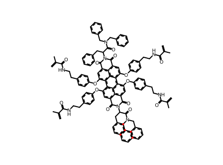 C=C(C)C(=O)NCCc1ccc(Oc2cc3c4c(cc(Oc5ccc(CCNC(=O)C(=C)C)cc5)c5c6c(Oc7ccc(CCNC(=O)C(=C)C)cc7)cc7c8c(cc(Oc9ccc(CCNC(=O)C(=C)C)cc9)c(c2c45)c86)C(=O)N(C(Cc2ccccc2)C(=O)N(Cc2ccccc2)Cc2ccccc2)C7=O)C(=O)N(C(Cc2ccccc2)C(=O)N(Cc2ccccc2)Cc2ccccc2)C3=O)cc1